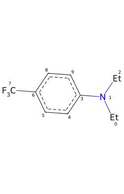 CCN(CC)c1ccc(C(F)(F)F)cc1